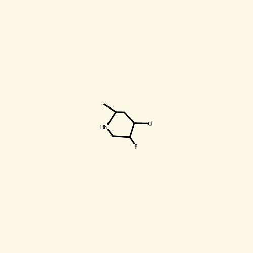 CC1CC(Cl)C(F)CN1